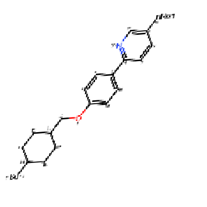 CCCCCCCCCc1ccc(-c2ccc(OCC3CCC(CCCC)CC3)cc2)nc1